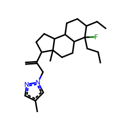 C=C(Cn1cc(C)cn1)C1CCC2C3CCC(CC)C(F)(CCC)C3CCC12C